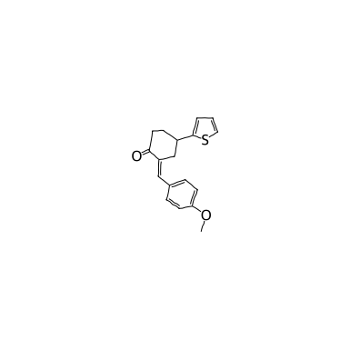 COc1ccc(C=C2CC(c3cccs3)CCC2=O)cc1